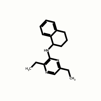 CCc1cnc(CC)c(NC2CCCc3ccccc32)n1